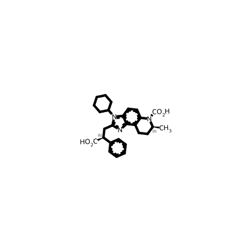 C[C@H]1CCc2c(ccc3c2nc(C[C@H](C(=O)O)c2ccccc2)n3C2CCCCC2)N1C(=O)O